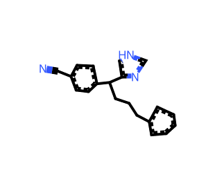 N#Cc1ccc(C(CCCc2ccccc2)c2c[nH]cn2)cc1